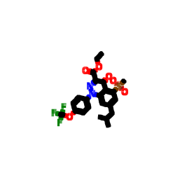 CCOC(=O)c1nn(-c2ccc(OC(F)(F)F)cc2)c2cc(CC(C)C)cc(S(C)(=O)=O)c2c1=O